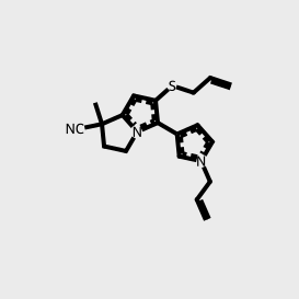 C=CCSc1cc2n(c1-c1ccn(CC=C)c1)CCC2(C)C#N